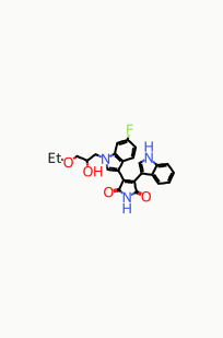 CCOCC(O)Cn1cc(C2=C(c3c[nH]c4ccccc34)C(=O)NC2=O)c2ccc(F)cc21